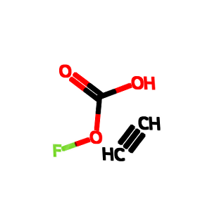 C#C.O=C(O)OF